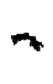 Cc1[nH]c(/C=N/N=C2\C(=O)Nc3ccc(F)cc32)c(C)c1C(=O)NCCNc1ccc(C(=O)Nc2ccc(Cl)cc2N)cn1